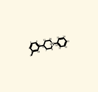 Cc1cccc(C2CCN(c3ccccc3)CC2)c1